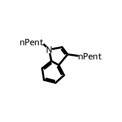 CCCCCc1cn(CCCCC)c2ccccc12